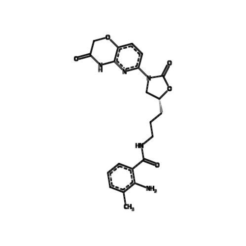 Cc1cccc(C(=O)NCCC[C@@H]2CN(c3ccc4c(n3)NC(=O)CO4)C(=O)O2)c1N